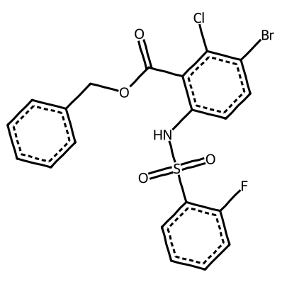 O=C(OCc1ccccc1)c1c(NS(=O)(=O)c2ccccc2F)ccc(Br)c1Cl